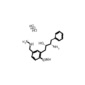 COc1ccc(CNN)cc1C[C@H](O)[C@@H](N)Cc1ccccc1.Cl.Cl.Cl